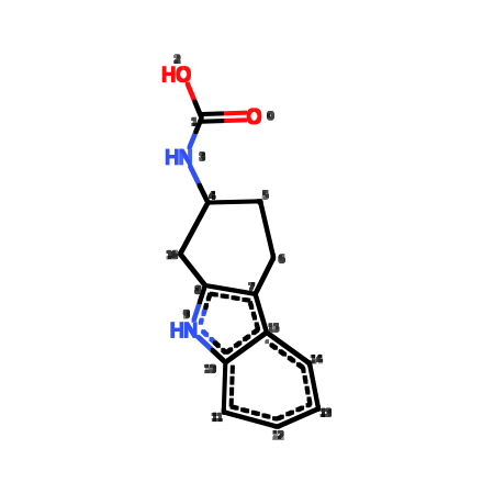 O=C(O)NC1CCc2c([nH]c3ccccc23)C1